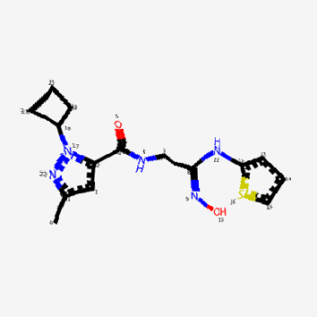 Cc1cc(C(=O)NCC(=NO)Nc2cccs2)n(C2CCC2)n1